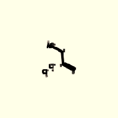 C=C[CH2][Al+2].[Cl-].[Cl-]